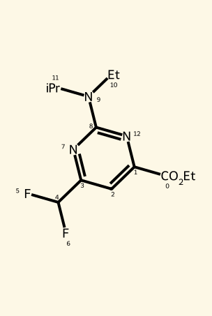 CCOC(=O)c1cc(C(F)F)nc(N(CC)C(C)C)n1